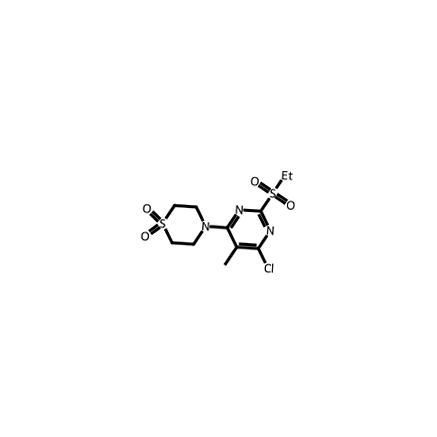 CCS(=O)(=O)c1nc(Cl)c(C)c(N2CCS(=O)(=O)CC2)n1